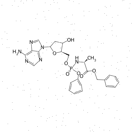 C[C@H](NP(=O)(OC[C@H]1OC(n2cnc3c(N)ncnc32)CC1O)Oc1ccccc1)C(=O)OCc1ccccc1